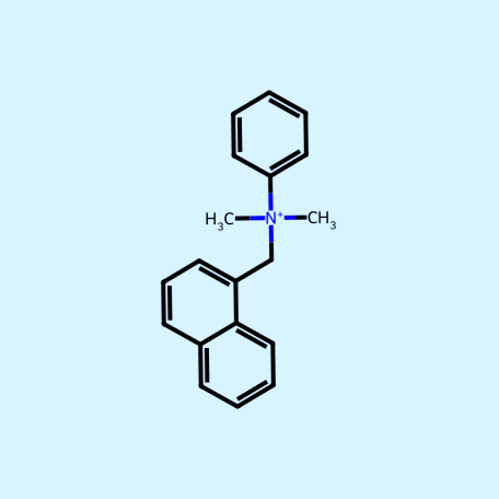 C[N+](C)(Cc1cccc2ccccc12)c1ccccc1